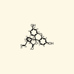 O=C1OC2(c3ccc(O)cc3Oc3cc(O)ccc32)c2cccc(C=S)c21